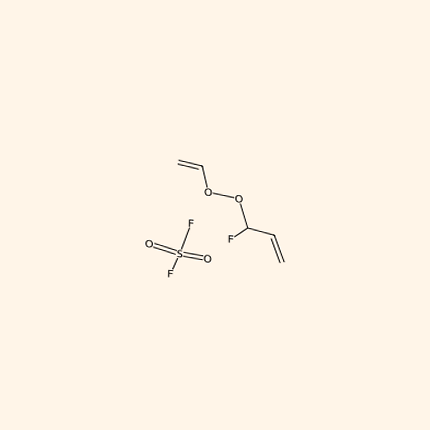 C=COOC(F)C=C.O=S(=O)(F)F